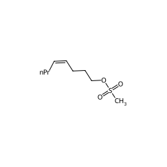 CCC/C=C\CCCOS(C)(=O)=O